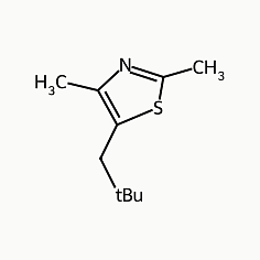 Cc1nc(C)c(CC(C)(C)C)s1